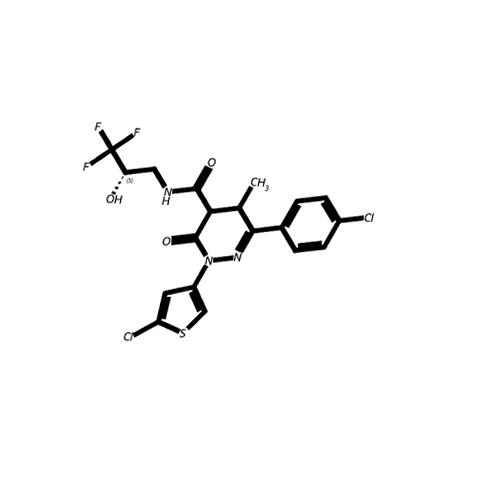 CC1C(c2ccc(Cl)cc2)=NN(c2csc(Cl)c2)C(=O)C1C(=O)NC[C@H](O)C(F)(F)F